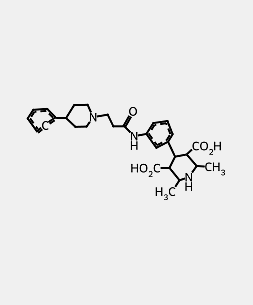 CC1NC(C)C(C(=O)O)C(c2cccc(NC(=O)CCN3CCC(c4ccccc4)CC3)c2)C1C(=O)O